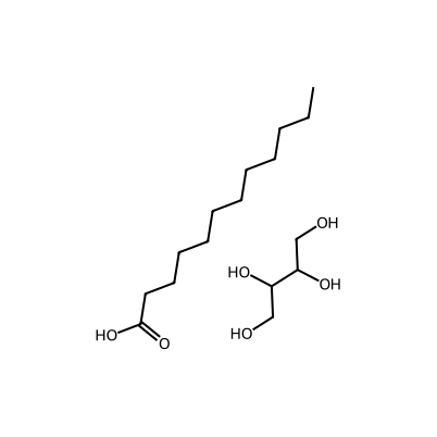 CCCCCCCCCCCC(=O)O.OCC(O)C(O)CO